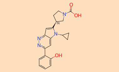 O=C(O)N1CC[C@H](c2cc3nnc(-c4ccccc4O)cc3n2C2CC2)C1